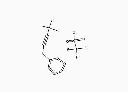 CC(C)(C)C#C[I+]c1ccccc1.O=S(=O)([O-])C(F)(F)F